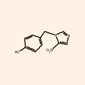 N#Cc1ccc(Cn2cncc2[N+](=O)[O-])cc1